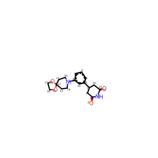 O=C1CC(c2cccc(N3CCC4(CC3)OCCO4)c2)CC(=O)N1